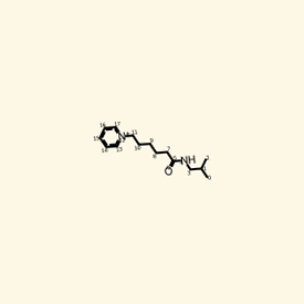 CC(C)CNC(=O)CCCCC[n+]1ccccc1